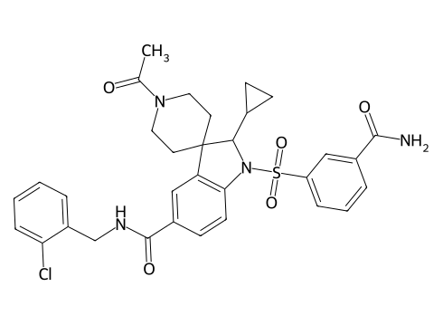 CC(=O)N1CCC2(CC1)c1cc(C(=O)NCc3ccccc3Cl)ccc1N(S(=O)(=O)c1cccc(C(N)=O)c1)C2C1CC1